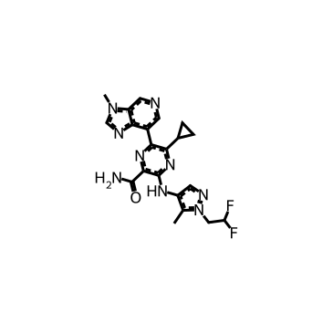 Cc1c(Nc2nc(C3CC3)c(-c3cncc4c3ncn4C)nc2C(N)=O)cnn1CC(F)F